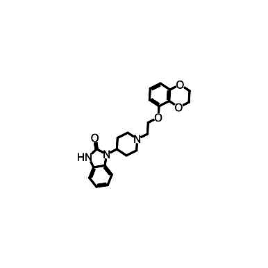 O=c1[nH]c2ccccc2n1C1CCN(CCOc2cccc3c2OCCO3)CC1